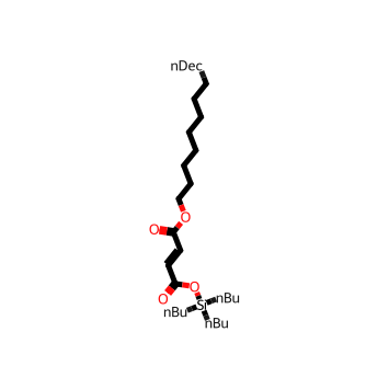 CCCCCCCCCCCCCCCCCCOC(=O)/C=C/C(=O)O[Si](CCCC)(CCCC)CCCC